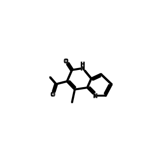 CC(=O)c1c(C)c2ncccc2[nH]c1=O